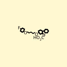 O=C(O)Cn1c2ccccc2c2ccc(OCCCCCOc3ccc(F)cc3)cc21